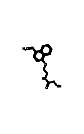 C=Cc1ccc(OCCNC(=O)OC(C)(C)C)c2ccccc12